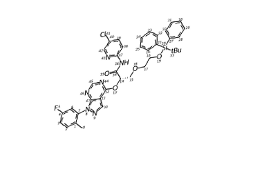 Cc1ccc(F)cc1-n1ncc2c(O[C@@H](COCCO[Si](c3ccccc3)(c3ccccc3)C(C)(C)C)C(=O)Nc3ccc(Cl)cn3)ncnc21